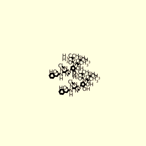 CC(C)(C)OC(=O)N(C(=O)OC(C)(C)C)[C@H]1C[C@@H](n2cnc3c(N[C@H](CO)Cc4ccccc4)nc(Cl)nc32)[C@H](O)[C@@H]1O.CC(C)(C)OC(=O)N(C(=O)OC(C)(C)C)[C@H]1C[C@@H](n2cnc3c(N[C@H](CO)Cc4ccccc4)nc(Cl)nc32)[C@H](O)[C@@H]1O